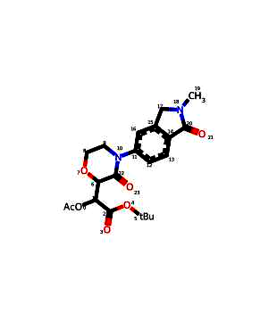 CC(=O)OC(C(=O)OC(C)(C)C)C1OCCN(c2ccc3c(c2)CN(C)C3=O)C1=O